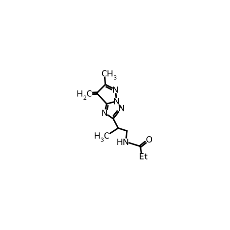 C=c1c(C)nn2nc(C(C)CNC(=O)CC)nc12